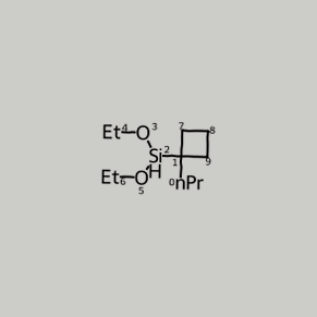 CCCC1([SiH](OCC)OCC)CCC1